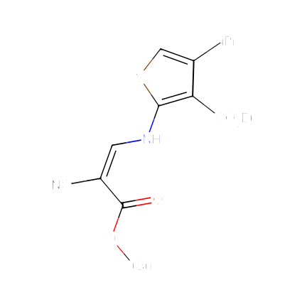 CCOC(=O)c1c(C(C)C)csc1N/C=C(/C#N)C(=O)OC(C)(C)C